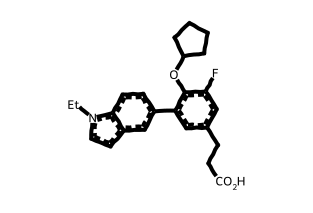 CCn1ccc2cc(-c3cc(CCC(=O)O)cc(F)c3OC3CCCC3)ccc21